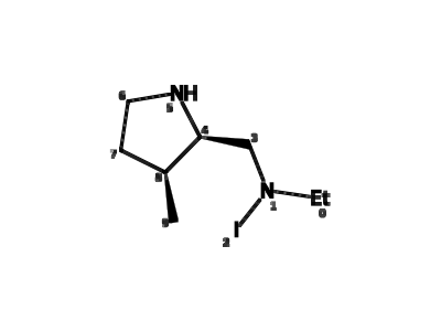 CCN(I)C[C@@H]1NCC[C@@H]1C